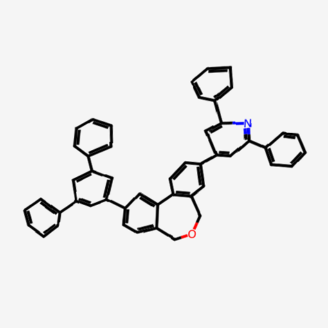 c1ccc(-c2cc(-c3ccccc3)cc(-c3ccc4c(c3)-c3ccc(-c5cc(-c6ccccc6)nc(-c6ccccc6)c5)cc3COC4)c2)cc1